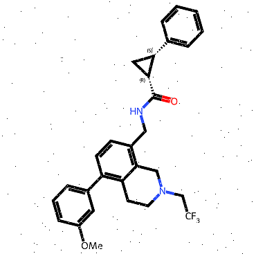 COc1cccc(-c2ccc(CNC(=O)[C@@H]3C[C@@H]3c3ccccc3)c3c2CCN(CC(F)(F)F)C3)c1